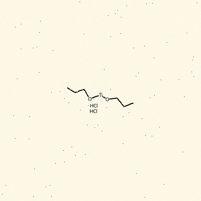 CCC[O][Ti][O]CCC.Cl.Cl